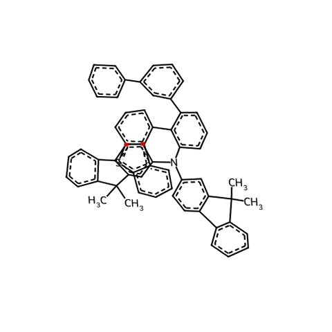 CC1(C)c2ccccc2-c2ccc(N(c3ccc4c(c3)C(C)(C)c3ccccc3-4)c3cccc(-c4cccc(-c5ccccc5)c4)c3-c3cccc4sc5ccccc5c34)cc21